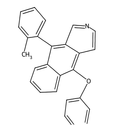 Cc1ccccc1-c1c2ccccc2c(Oc2ccccc2)c2ccncc12